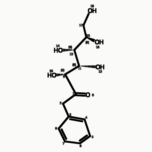 O=C(Cc1ccccc1)[C@H](O)[C@@H](O)[C@H](O)[C@H](O)CO